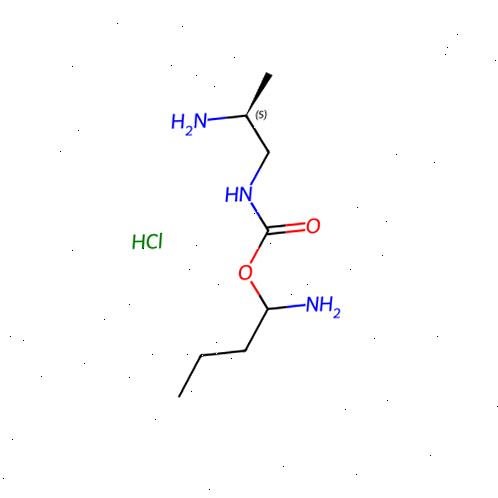 CCCC(N)OC(=O)NC[C@H](C)N.Cl